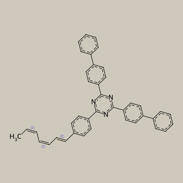 C\C=C/C=C\C=C\c1ccc(-c2nc(-c3ccc(-c4ccccc4)cc3)nc(-c3ccc(-c4ccccc4)cc3)n2)cc1